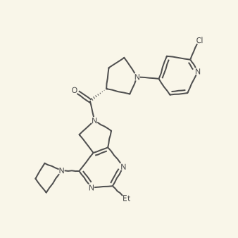 CCc1nc2c(c(N3CCC3)n1)CN(C(=O)[C@@H]1CCN(c3ccnc(Cl)c3)C1)C2